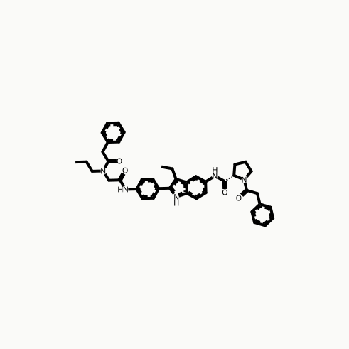 CCCN(CC(=O)Nc1ccc(-c2[nH]c3ccc(NC(=O)[C@@H]4CCCN4C(=O)Cc4ccccc4)cc3c2CC)cc1)C(=O)Cc1ccccc1